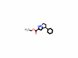 CCOC(=O)c1cc2n(n1)CCC2c1ccccc1